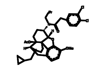 COc1ccc2c3c1O[C@H]1[C@@H](N(CC(C)C)C(=O)Cc4ccc(Cl)c(Cl)c4)CC[C@@]4(OC(C)=O)[C@@H](C2)N(CC2CC2)CC[C@]314